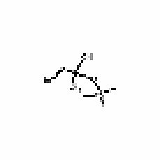 C[Si](C)(C)OC(C#N)(CBr)C(F)(F)F